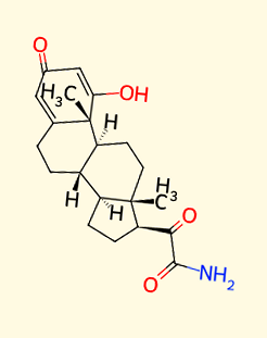 C[C@]12C(O)=CC(=O)C=C1CC[C@@H]1[C@@H]2CC[C@]2(C)[C@@H](C(=O)C(N)=O)CC[C@@H]12